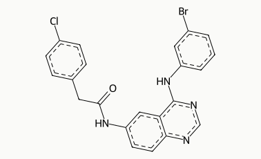 O=C(Cc1ccc(Cl)cc1)Nc1ccc2ncnc(Nc3cccc(Br)c3)c2c1